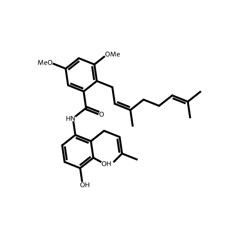 COc1cc(OC)c(CC=C(C)CCC=C(C)C)c(C(=O)Nc2ccc(O)c(O)c2CC=C(C)C)c1